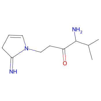 CC(C)C(N)C(=O)CCN1C=CCC1=N